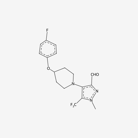 Cn1nc(C=O)c(N2CCC(Oc3ccc(F)cc3)CC2)c1C(F)(F)F